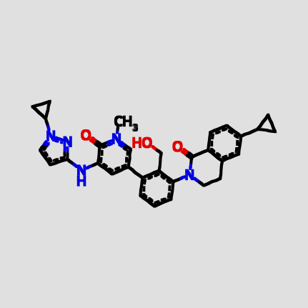 Cn1cc(-c2cccc(N3CCc4cc(C5CC5)ccc4C3=O)c2CO)cc(Nc2ccn(C3CC3)n2)c1=O